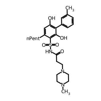 CCCCCc1cc(O)c(-c2cccc(C)c2)c(O)c1S(=O)(=O)NC(=O)CCN1CCN(C)CC1